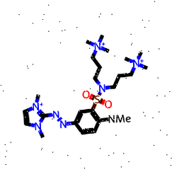 CNc1ccc(/N=N/c2n(C)cc[n+]2C)cc1S(=O)(=O)N(CCC[N+](C)(C)C)CCC[N+](C)(C)C